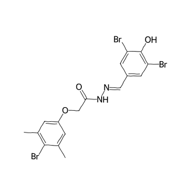 Cc1cc(OCC(=O)NN=Cc2cc(Br)c(O)c(Br)c2)cc(C)c1Br